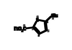 CCOC(=O)c1ccc(C(C)(C)C)s1